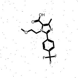 COCCn1c(-c2ccc(C(F)(F)F)cc2)nc(C)c1C(=O)O